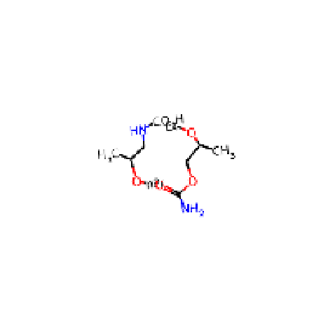 CCCOC(C)CNC(=O)O.CCOC(C)COC(N)=O